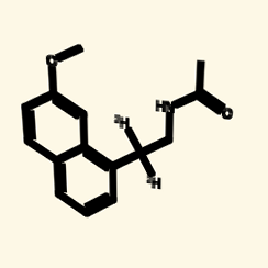 [2H]C([2H])(CNC(C)=O)c1cccc2ccc(OC)cc12